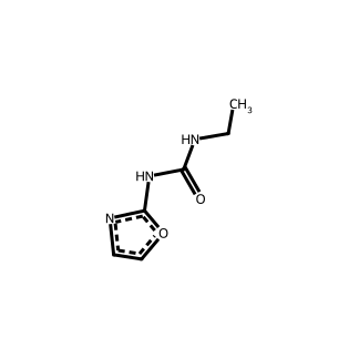 CCNC(=O)Nc1ncco1